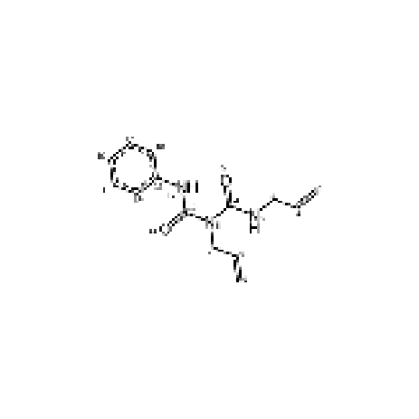 C=CCNC(=O)N(CC=C)C(=O)Nc1ccccc1